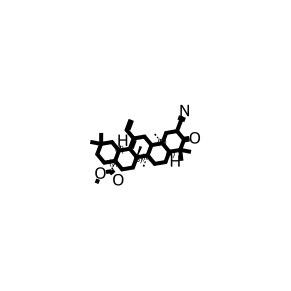 C=CC1=C2[C@@H]3CC(C)(C)CC[C@]3(C(=O)OC)CC[C@@]2(C)[C@]2(C)CC[C@H]3C(C)(C)C(=O)C(C#N)C[C@]3(C)C2C1